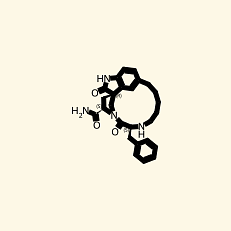 NC(=O)[C@@H]1C[C@]23CN1C(=O)[C@H](Cc1ccccc1)NCCCCCc1ccc(c2c1)NC3=O